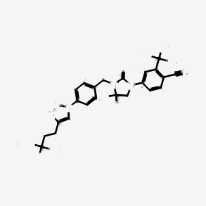 CC(C)(O)CCc1cn(-c2ccc(CN3C(=S)N(c4ccc(C#N)c(C(F)(F)F)c4)CC3(C)C)cc2)nn1